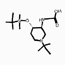 CC(C)(C)N1CC[C@H](O[Si](C)(C)C(C)(C)C)[C@@H](NC(=O)O)C1